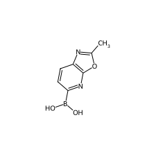 Cc1nc2ccc(B(O)O)nc2o1